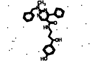 CN(Cc1ccccc1)c1ncc(C(=O)NCCC(O)c2ccc(O)cc2)c(-c2ccccc2)n1